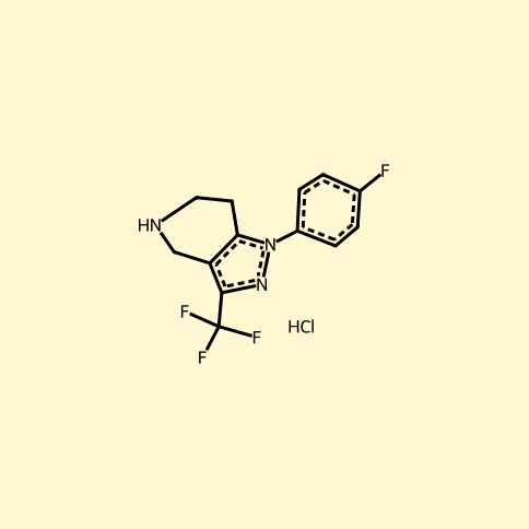 Cl.Fc1ccc(-n2nc(C(F)(F)F)c3c2CCNC3)cc1